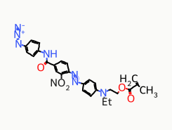 C=C(C)C(=O)OCCN(CC)c1ccc(/N=N/c2ccc(C(=O)Nc3ccc(N=[N+]=[N-])cc3)cc2[N+](=O)[O-])cc1